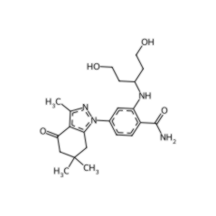 Cc1nn(-c2ccc(C(N)=O)c(NC(CCO)CCO)c2)c2c1C(=O)CC(C)(C)C2